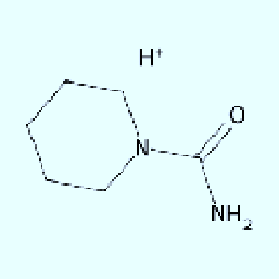 NC(=O)N1CCCCC1.[H+]